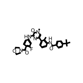 Cc1c(NC(=O)c2ccc(C(C)(C)C)cc2)cccc1-c1cn(C)c(=O)c(Nc2ccc(C(=O)N3CCOCC3)c(F)c2)n1